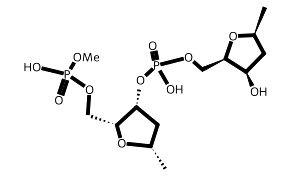 COP(=O)(O)OC[C@H]1O[C@@H](C)C[C@H]1OP(=O)(O)OC[C@H]1O[C@@H](C)C[C@H]1O